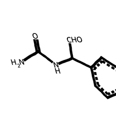 NC(=O)NC(C=O)c1ccccc1